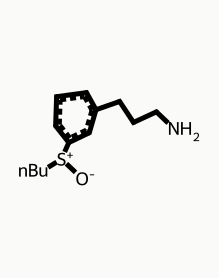 CCCC[S+]([O-])c1cccc(CCCN)c1